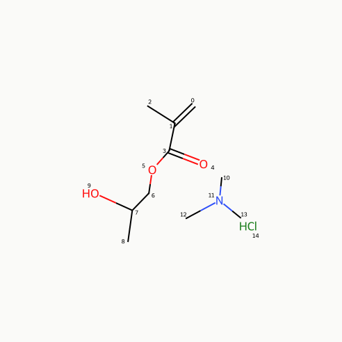 C=C(C)C(=O)OCC(C)O.CN(C)C.Cl